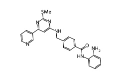 CSc1nc(NCc2ccc(C(=O)Nc3ccccc3N)cc2)cc(-c2cccnc2)n1